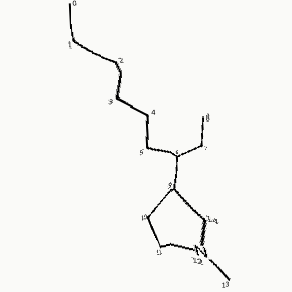 CCCCCCC(CC)C1CCN(C)C1